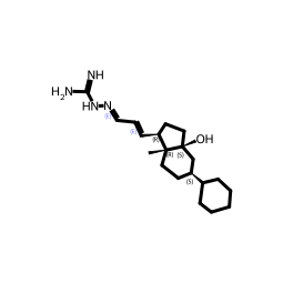 C[C@]12CC[C@H](C3CCCCC3)C[C@@]1(O)CC[C@@H]2/C=C/C=N/NC(=N)N